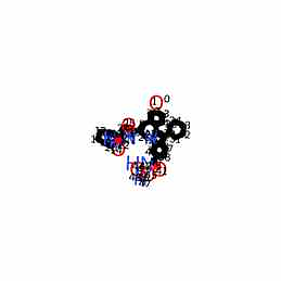 COc1ccc2c(c1)C=C(c1nc(C(=O)N3C4CCC3CN(C)C4)co1)Cn1c-2c(C2CCCCC2)c2ccc(C(=O)NS(=O)(=O)N(C)C)cc21